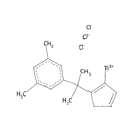 Cc1cc(C)cc(C(C)(C)C2=[C]([Ti+3])C=CC2)c1.[Cl-].[Cl-].[Cl-]